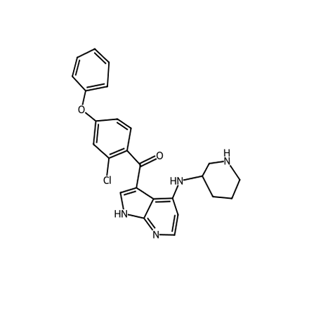 O=C(c1ccc(Oc2ccccc2)cc1Cl)c1c[nH]c2nccc(NC3CCCNC3)c12